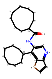 O=C(Nc1cnc2ccsc2c1C1CCCCCCC1)C1CCCCCCCC1